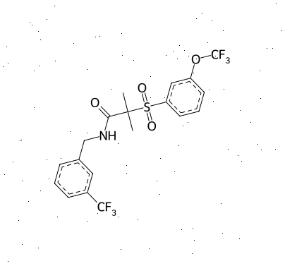 CC(C)(C(=O)NCc1cccc(C(F)(F)F)c1)S(=O)(=O)c1cccc(OC(F)(F)F)c1